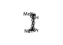 CNC(=O)c1ccccc1C(=O)NCCOCCOCCOCCOP(OCCC#N)N(C(C)C)C(C)C